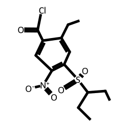 CCc1cc(S(=O)(=O)C(CC)CC)c([N+](=O)[O-])cc1C(=O)Cl